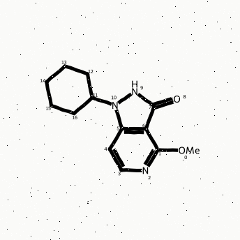 COc1nccc2c1c(=O)[nH]n2C1CCCCC1